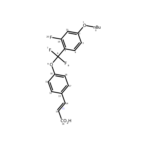 CCCCOc1ccc(C(F)(F)Oc2ccc(/C=C/C(=O)O)cc2)c(F)c1